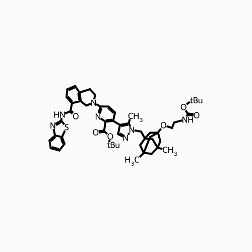 Cc1c(-c2ccc(N3CCc4cccc(C(=O)Nc5nc6ccccc6s5)c4C3)nc2C(=O)OC(C)(C)C)cnn1CC12CC3(C)CC(C)(C1)CC(OCCNC(=O)OC(C)(C)C)(C3)C2